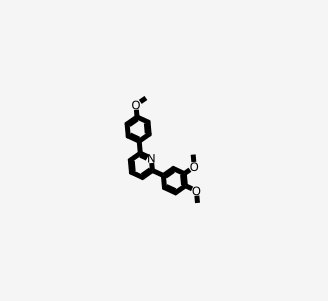 COc1ccc(-c2cccc(-c3ccc(OC)c(OC)c3)n2)cc1